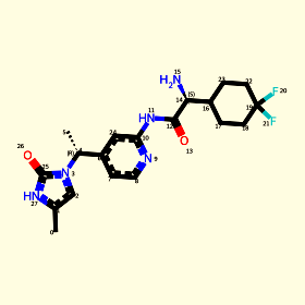 Cc1cn([C@H](C)c2ccnc(NC(=O)[C@@H](N)C3CCC(F)(F)CC3)c2)c(=O)[nH]1